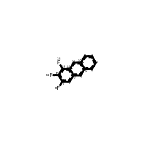 Fc1cc2cc3ccccc3cc2c(F)c1F